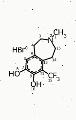 Br.CN1CCc2cc(O)c(O)c(C(F)(F)F)c2CC1